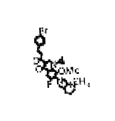 COc1c(N2CC3CCCN(C)C3C2)c(F)cc2c(=O)c(C(=O)C=Cc3ccc(Br)cc3)cn(C3CC3)c12